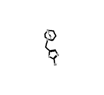 Brc1ncc(CN2CCN3CCC2CC3)s1